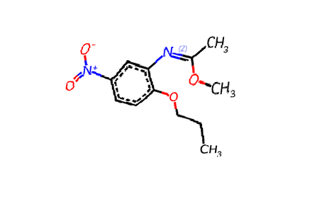 CCCOc1ccc([N+](=O)[O-])cc1/N=C(/C)OC